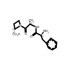 C[C@H](NC(=O)[C@@H](N)Cc1ccccc1)C(=O)N1CC[C@H]1C(=O)O